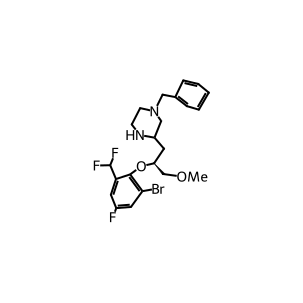 COC[C@H](CC1CN(Cc2ccccc2)CCN1)Oc1c(Br)cc(F)cc1C(F)F